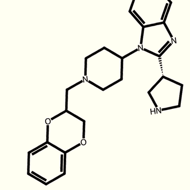 c1ccc2c(c1)OCC(CN1CCC(n3c([C@@H]4CCNC4)nc4ccccc43)CC1)O2